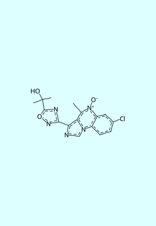 Cc1c2c(-c3noc(C(C)(C)O)n3)ncn2c2ccc(Cl)cc2[n+]1[O-]